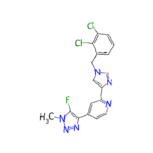 Cn1nnc(-c2ccnc(-c3cn(Cc4cccc(Cl)c4Cl)cn3)c2)c1F